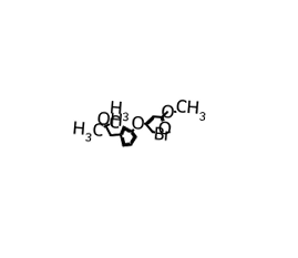 CCOC(=O)/C=C(\CBr)Oc1cccc(CC(C)(C)O)c1